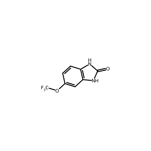 O=c1[nH]c2ccc(OC(F)(F)F)cc2[nH]1